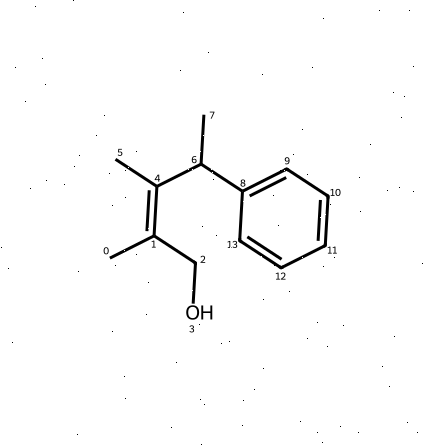 CC(CO)=C(C)C(C)c1ccccc1